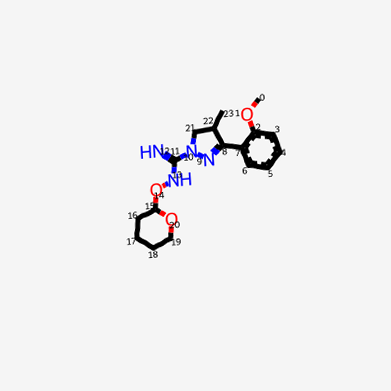 COc1ccccc1C1=NN(C(=N)NOC2CCCCO2)CC1C